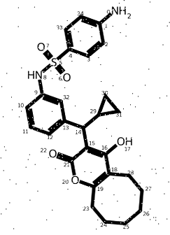 Nc1ccc(S(=O)(=O)Nc2cccc(C(c3c(O)c4c(oc3=O)CCCCCC4)C3CC3)c2)cc1